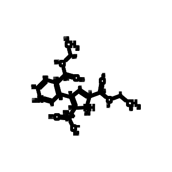 CCOC(=O)c1cc(-c2cnccc2C(=O)OCC)c([N+](=O)[O-])[nH]1